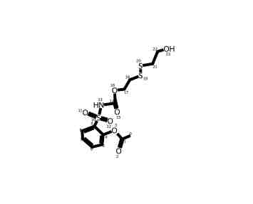 CC(=O)Oc1ccccc1S(=O)(=O)NC(=O)OCCSSCCO